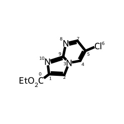 CCOC(=O)c1cn2cc(Cl)cnc2n1